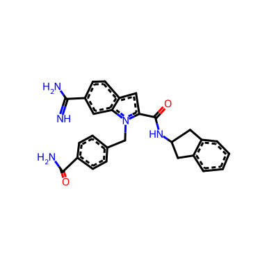 N=C(N)c1ccc2cc(C(=O)NC3Cc4ccccc4C3)n(Cc3ccc(C(N)=O)cc3)c2c1